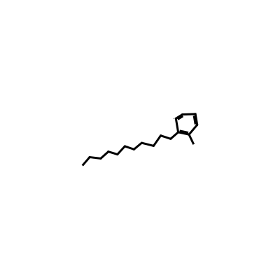 CCCCCCCCCCCc1[c]cccc1C